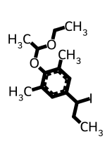 CCOC(C)Oc1c(C)cc(C(I)CC)cc1C